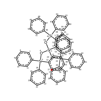 C=CC[Si](O[Si](c1ccccc1)(c1ccccc1)c1ccccc1)(O[Si](c1ccccc1)(c1ccccc1)c1ccccc1)O[Si](c1ccccc1)(c1ccccc1)c1ccccc1